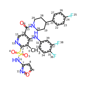 Cc1c(S(=O)(=O)Nc2ccon2)ncc(C(=O)N2CCC(c3ccc(F)cc3)CC2)c1Nc1ccc(F)c(F)c1